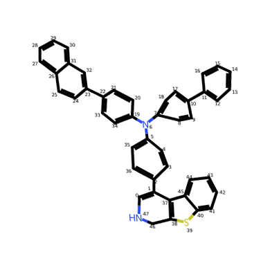 C1=C(c2ccc(N(c3ccc(-c4ccccc4)cc3)c3ccc(-c4ccc5ccccc5c4)cc3)cc2)c2c(sc3ccccc23)CN1